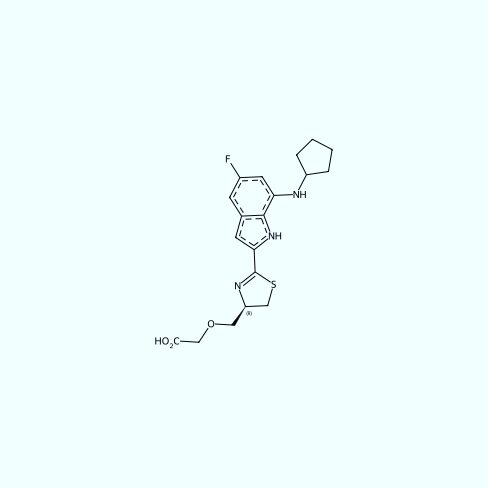 O=C(O)COC[C@@H]1CSC(c2cc3cc(F)cc(NC4CCCC4)c3[nH]2)=N1